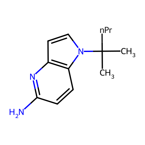 CCCC(C)(C)n1ccc2nc(N)ccc21